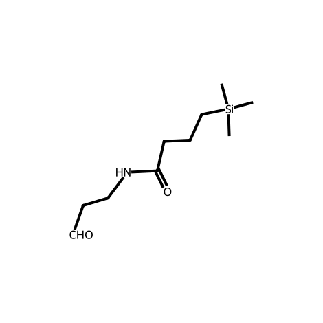 C[Si](C)(C)CCCC(=O)NCCC=O